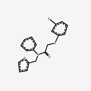 O=C(COc1cccc(F)c1)N(Cc1cccs1)c1ccccc1